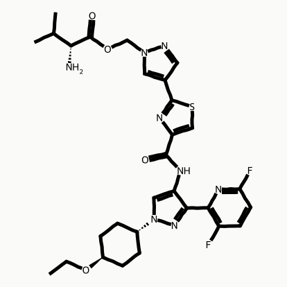 CCO[C@H]1CC[C@H](n2cc(NC(=O)c3csc(-c4cnn(COC(=O)[C@H](N)C(C)C)c4)n3)c(-c3nc(F)ccc3F)n2)CC1